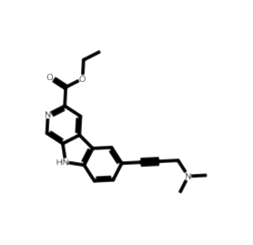 CCOC(=O)c1cc2c(cn1)[nH]c1ccc(C#CCN(C)C)cc12